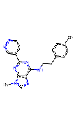 CC(C)n1cnc2c(NCCc3ccc(C#N)cc3)nc(-c3ccnnc3)nc21